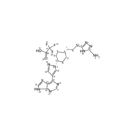 Nc1nnc(SCC[C@H]2CC[C@@H](n3cc(-c4ncnc5[nH]ccc45)cn3)CC2)[nH]1.O=C(O)C(F)(F)F